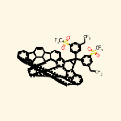 O=S(=O)(c1cc(CC(F)(F)F)cc(C2(c3cc(CC(F)(F)F)cc(S(=O)(=O)C(F)(F)F)c3)C3c4c5c6c7c4c4c(c8ccc9c%10ccc%11c%12c%13c%14c(c7c7c%14c(c%12%10)c9c8c47)=C4C6C(C=C5)C5C=CC%11C%13C45)C32)c1)C(F)(F)F